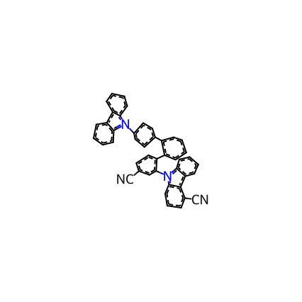 N#Cc1ccc(-c2ccccc2-c2ccc(-n3c4ccccc4c4ccccc43)cc2)c(-n2c3ccccc3c3c(C#N)cccc32)c1